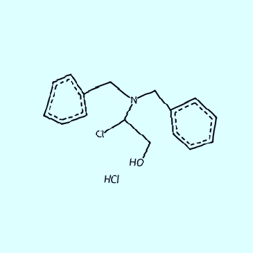 Cl.OCC(Cl)N(Cc1ccccc1)Cc1ccccc1